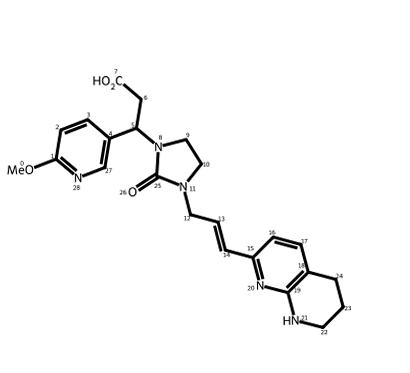 COc1ccc(C(CC(=O)O)N2CCN(C/C=C/c3ccc4c(n3)NCCC4)C2=O)cn1